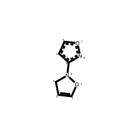 C1=CON(c2ccon2)C1